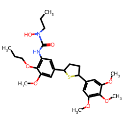 CCCOc1c(NC(=O)N(O)CCC)cc(C2CCC(c3cc(OC)c(OC)c(OC)c3)S2)cc1OC